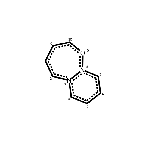 c1ccn2ccccn2oc1